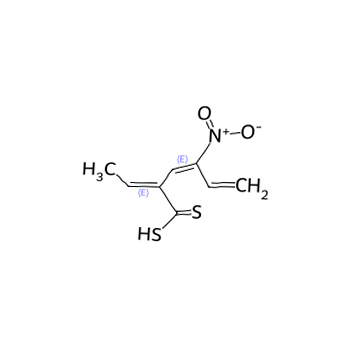 C=C/C(=C\C(=C/C)C(=S)S)[N+](=O)[O-]